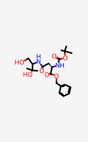 CC(C)(C)OC(=O)N[C@H](CC(=O)NC(CO)C(C)(C)O)C(=O)OCc1ccccc1